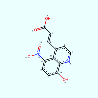 O=C(O)C=Cc1ccnc2c(O)ccc([N+](=O)[O-])c12